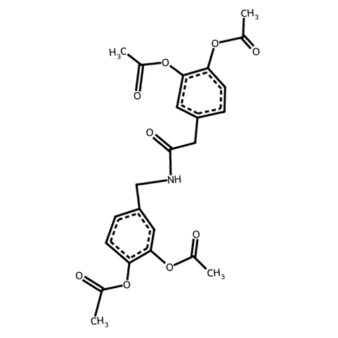 CC(=O)Oc1ccc(CNC(=O)Cc2ccc(OC(C)=O)c(OC(C)=O)c2)cc1OC(C)=O